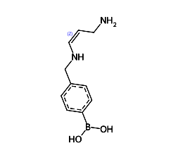 NC/C=C\NCc1ccc(B(O)O)cc1